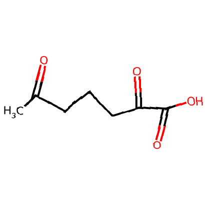 CC(=O)CCCC(=O)C(=O)O